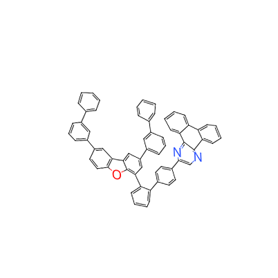 c1ccc(-c2cccc(-c3ccc4oc5c(-c6ccccc6-c6ccc(-c7cnc8c9ccccc9c9ccccc9c8n7)cc6)cc(-c6cccc(-c7ccccc7)c6)cc5c4c3)c2)cc1